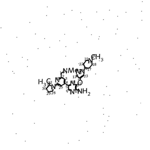 CNCc1cc(-c2cnc(N)c(Oc3cnn(C4CCN(C)CC4)c3)n2)cc(N2CCC[C@H]2C)n1